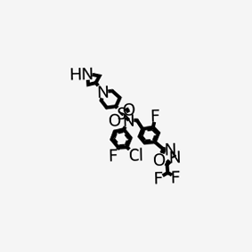 O=S(=O)(C1CCN(C2CNC2)CC1)N(Cc1ccc(-c2nnc(C(F)F)o2)cc1F)c1ccc(F)c(Cl)c1